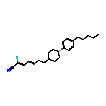 CCCCCc1ccc([C@H]2CC[C@H](CCC=CC=C(F)C#N)CC2)cc1